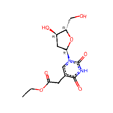 CCOC(=O)Cc1cn([C@H]2C[C@@H](O)[C@H](CO)O2)c(=O)[nH]c1=O